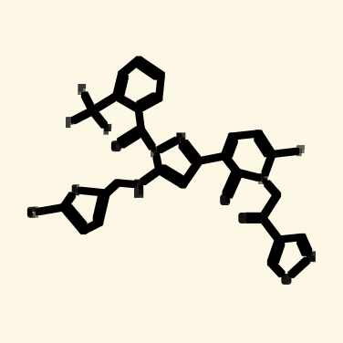 O=C(Cn1c(F)ccc(-c2cc(NCc3ccc(Cl)s3)n(C(=O)c3ccccc3C(F)(F)F)n2)c1=O)c1cnoc1